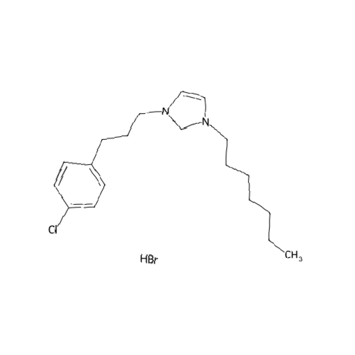 Br.CCCCCCCN1C=CN(CCCc2ccc(Cl)cc2)C1